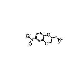 CN(C)CC1COc2cc([N+](=O)[O-])ccc2O1